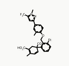 CCc1cccc(C2(C(=O)O)C=CC(C)=C(C(=O)O)C2)c1COc1ccc(-c2cc(C(F)(F)F)n(C)n2)cc1C